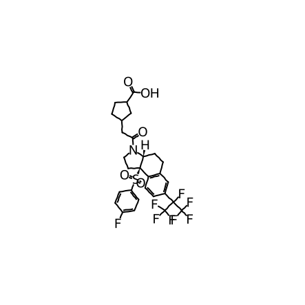 O=C(O)C1CCC(CC(=O)N2CC[C@@]3(S(=O)(=O)c4ccc(F)cc4)c4ccc(C(F)(C(F)(F)F)C(F)(F)F)cc4CC[C@@H]23)C1